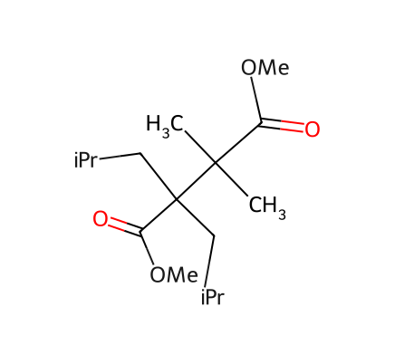 COC(=O)C(C)(C)C(CC(C)C)(CC(C)C)C(=O)OC